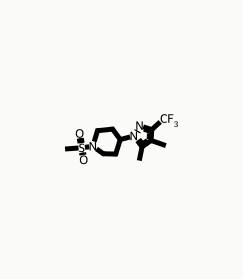 Cc1c(C(F)(F)F)nn(C2CCN(S(C)(=O)=O)CC2)c1C